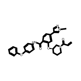 C=CC(=O)N1CCC[C@@H](Oc2cc(-c3cnn(C)c3)ccc2C(=O)Nc2ccc(Oc3ccccc3)cc2)C1